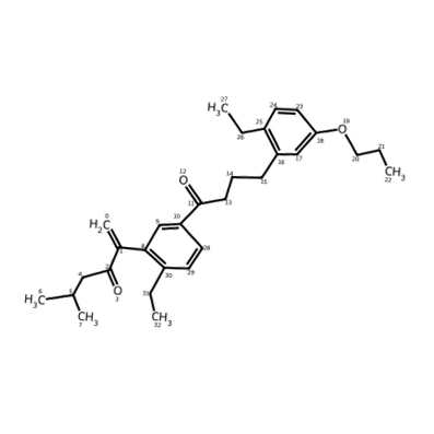 C=C(C(=O)CC(C)C)c1cc(C(=O)CCCc2cc(OCCC)ccc2CC)ccc1CC